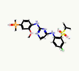 COc1cc(P(C)(C)=O)ccc1Nc1nccc(Nc2ccc(Cl)cc2S(=O)(=O)C(C)C)n1